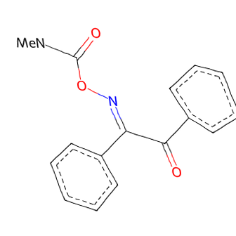 CNC(=O)ON=C(C(=O)c1ccccc1)c1ccccc1